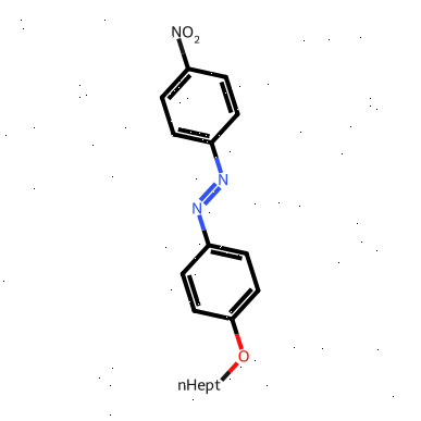 CCCCCCCOc1ccc(N=Nc2ccc([N+](=O)[O-])cc2)cc1